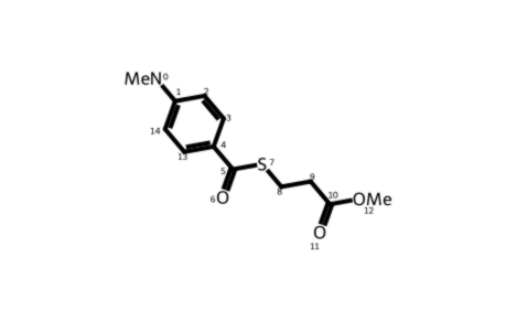 CNc1ccc(C(=O)SCCC(=O)OC)cc1